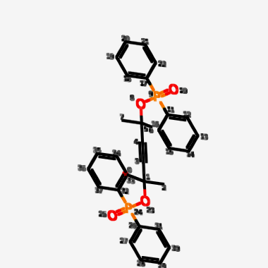 CC(C)(C#CC(C)(C)OP(=O)(c1ccccc1)c1ccccc1)OP(=O)(c1ccccc1)c1ccccc1